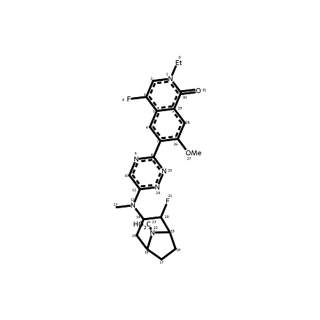 CCn1cc(F)c2cc(-c3ncc(N(C)C4CC5CCC(C4F)N5C(=O)O)nn3)c(OC)cc2c1=O